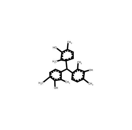 Cc1ccc(C(c2ccc(C)c(O)c2C)c2ccc(C)c(O)c2C)c(C)c1O